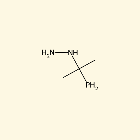 CC(C)(P)NN